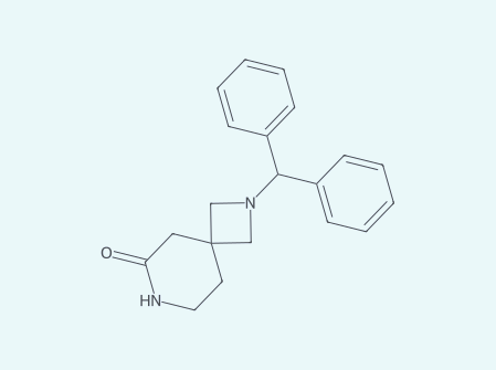 O=C1CC2(CCN1)CN(C(c1ccccc1)c1ccccc1)C2